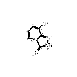 O=c1[nH]nc2c(Cl)cccn12